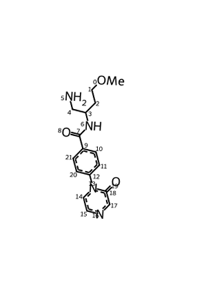 COCCC(CN)NC(=O)c1ccc(-n2ccncc2=O)cc1